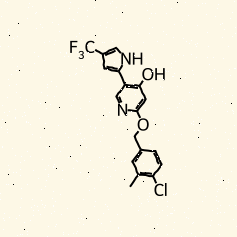 Cc1cc(COc2cc(O)c(-c3cc(C(F)(F)F)c[nH]3)cn2)ccc1Cl